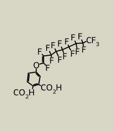 O=C(O)c1ccc(OC(F)=C(F)C(F)(F)C(F)(F)C(F)(F)C(F)(F)C(F)(F)C(F)(F)C(F)(F)F)cc1C(=O)O